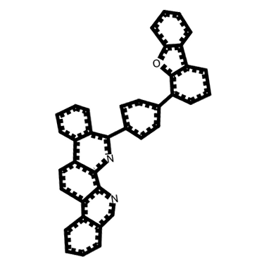 c1ccc2c(c1)cnc1c2ccc2c3ccccc3c(-c3ccc(-c4cccc5c4oc4ccccc45)cc3)nc21